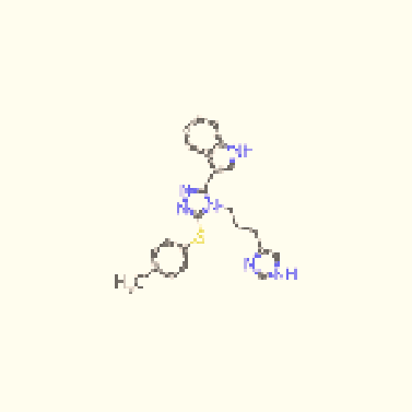 Cc1ccc(Sc2nnc(-c3c[nH]c4ccccc34)n2CCCc2c[nH]cn2)cc1